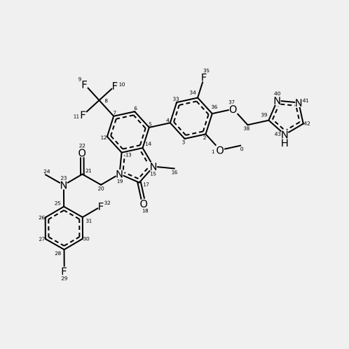 COc1cc(-c2cc(C(F)(F)F)cc3c2n(C)c(=O)n3CC(=O)N(C)c2ccc(F)cc2F)cc(F)c1OCc1nnc[nH]1